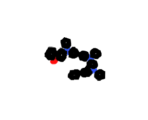 c1ccc(-c2ccc3c(c2)c2cc(N(c4ccccc4)c4ccc(-c5ccc(N(c6ccccc6)c6ccc7oc8ccccc8c7c6)cc5)cc4)ccc2n3-c2ccccc2)cc1